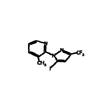 Cc1cccnc1-n1nc(C(F)(F)F)cc1I